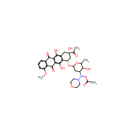 COc1cccc2c1C(=O)c1c(O)c3c(c(O)c1C2=O)C[C@@](O)(C(C)=O)C[C@@H]3OC1CC(N(OC(C)=O)N2CCOCC2)C(O)C(C)O1